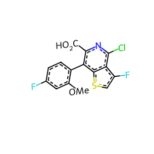 COc1cc(F)ccc1-c1c(C(=O)O)nc(Cl)c2c(F)csc12